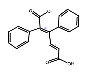 O=C(O)/C=C/C(=C(/C(=O)O)c1ccccc1)c1ccccc1